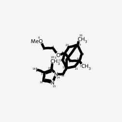 COCCOC12CC3(C)CC(C)(CC(Cn4ncc(I)c4C)(C3)C1)C2